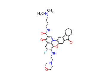 CN(C)CCCCNC(=O)c1cn2c3cc4c5c(c(=O)c4cc3oc3c(NCCN4CCOCC4)c(F)cc(c1=O)c32)C=CCC5